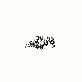 CC(C)(C)OC(=O)N/C(=N\C(=O)O)N1CC[C@@H](c2nc(-c3ccc(Nc4cc(Br)ccc4Br)nc3)no2)C1